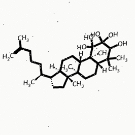 C=C(C)CCC[C@H](C)[C@H]1CC[C@]2(C)[C@@H]1CC[C@@H]1[C@]3(C)[C@@H](CC[C@]12C)C(C)(C)C(O)C(O)(O)C3(O)O